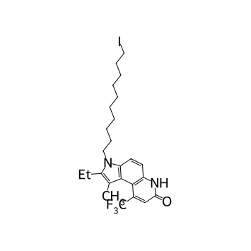 CCc1c(C)c2c3c(C(F)(F)F)cc(=O)[nH]c3ccc2n1CCCCCCCCCCI